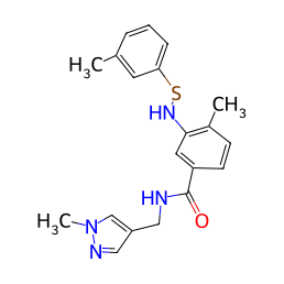 Cc1cccc(SNc2cc(C(=O)NCc3cnn(C)c3)ccc2C)c1